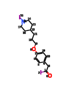 O=C(I)Cc1ccc(OCCCC2CCN(I)CC2)cc1